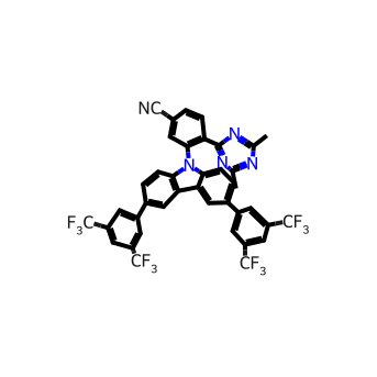 Cc1nc(C)nc(-c2ccc(C#N)cc2-n2c3ccc(-c4cc(C(F)(F)F)cc(C(F)(F)F)c4)cc3c3cc(-c4cc(C(F)(F)F)cc(C(F)(F)F)c4)ccc32)n1